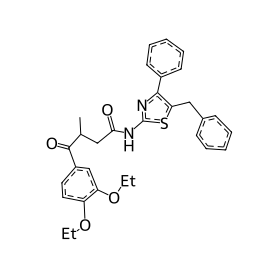 CCOc1ccc(C(=O)C(C)CC(=O)Nc2nc(-c3ccccc3)c(Cc3ccccc3)s2)cc1OCC